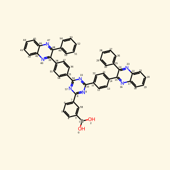 OB(O)c1cccc(-c2nc(-c3ccc(-c4nc5ccccc5nc4-c4ccccc4)cc3)nc(-c3ccc(-c4nc5ccccc5nc4-c4ccccc4)cc3)n2)c1